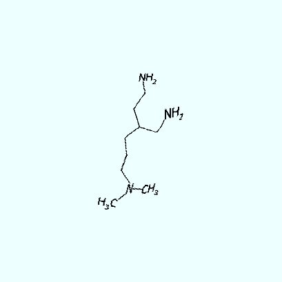 CN(C)CCCC(CN)CCN